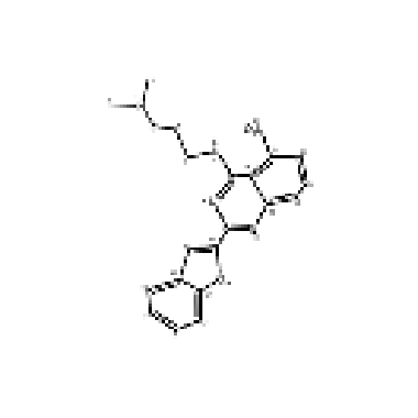 CN(C)CCCNc1nc(-c2cc3ccccc3o2)nc2cccc([N+](=O)[O-])c12